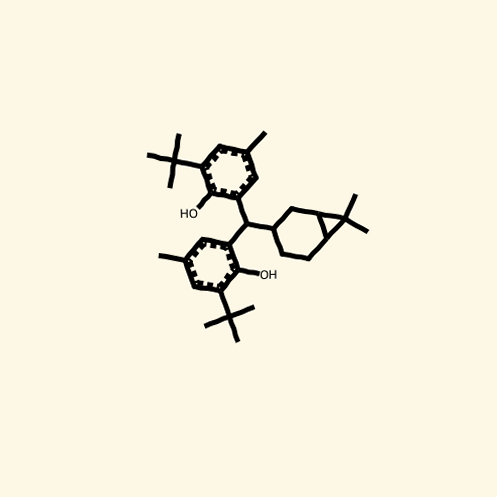 Cc1cc(C(c2cc(C)cc(C(C)(C)C)c2O)C2CCC3C(C2)C3(C)C)c(O)c(C(C)(C)C)c1